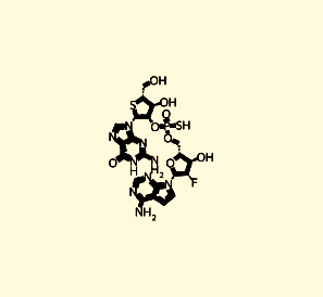 Nc1nc2c(ncn2[C@@H]2S[C@H](CO)[C@@H](O)[C@H]2OP(=O)(S)OC[C@H]2O[C@@H](n3ccc4c(N)ncnc43)[C@@H](F)[C@@H]2O)c(=O)[nH]1